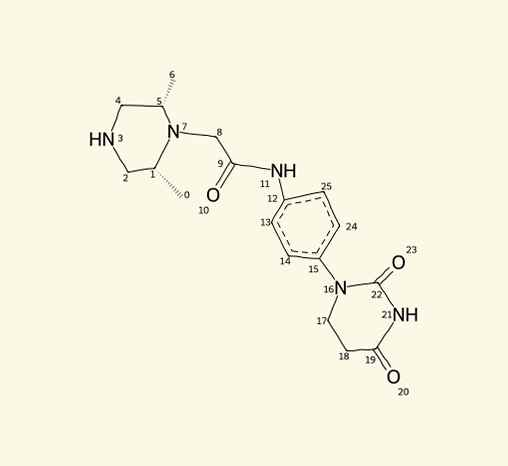 C[C@@H]1CNC[C@H](C)N1CC(=O)Nc1ccc(N2CCC(=O)NC2=O)cc1